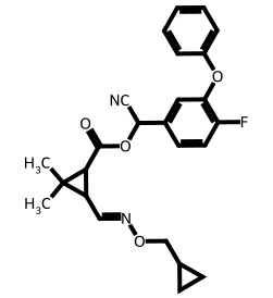 CC1(C)C(C=NOCC2CC2)C1C(=O)OC(C#N)c1ccc(F)c(Oc2ccccc2)c1